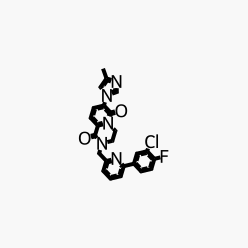 Cc1cn(-c2ccc3n(c2=O)CCN(Cc2cccc(-c4ccc(F)c(Cl)c4)n2)C3=O)cn1